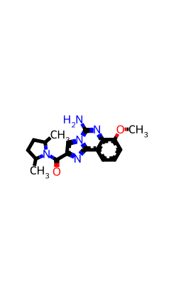 COc1cccc2c1nc(N)n1cc(C(=O)N3C(C)CCC3C)nc21